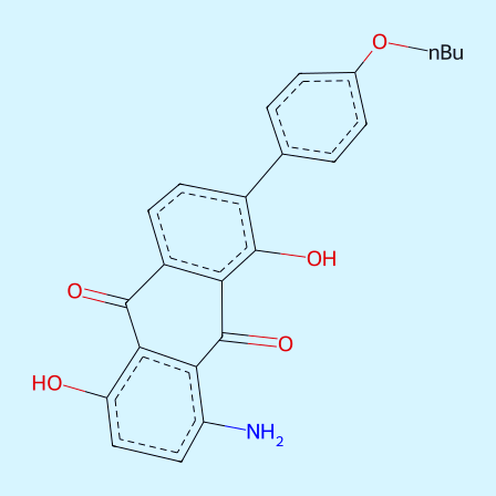 CCCCOc1ccc(-c2ccc3c(c2O)C(=O)c2c(N)ccc(O)c2C3=O)cc1